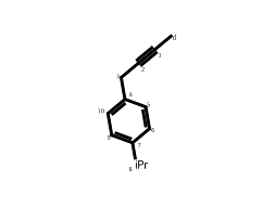 [CH2]C#CCc1ccc(C(C)C)cc1